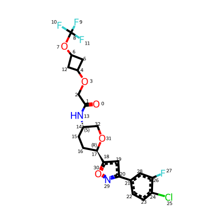 O=C(COC1CC(OC(F)(F)F)C1)N[C@H]1CC[C@H](c2cc(-c3ccc(Cl)c(F)c3)no2)OC1